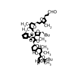 C=C1C[C@H](CCC=O)OC1CC[C@H]1C[C@@H](C)C(=C)C(C[C@@H]2O[C@H](C[C@H](C)CC)[C@H](C)[C@H]2C(C(=O)C[C@H]2CC[C@@H]3O[C@@H]([C@H](/C=C/I)O[Si](C)(C)C(C)(C)C)[C@@H](C)C(C)[C@H]3O2)S(=O)(=O)c2ccccc2)O1